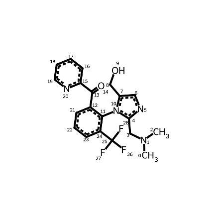 CN(C)Cc1ncc(CO)n1-c1c(C(=O)c2ccccn2)cccc1C(F)(F)F